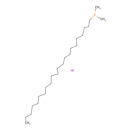 CCCCCCCCCCCCCCCCCCCCCCP(C)C.I